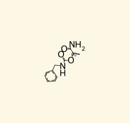 C[C@@H](OC(=O)NCc1ccccc1)C(N)=O